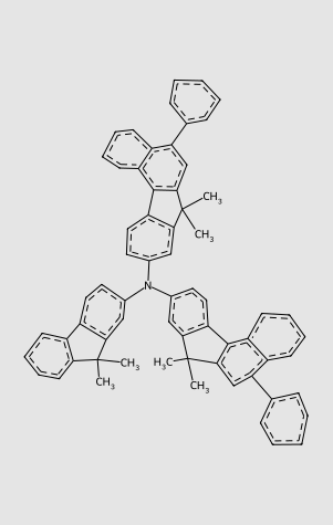 CC1(C)c2ccccc2-c2ccc(N(c3ccc4c(c3)C(C)(C)c3cc(-c5ccccc5)c5ccccc5c3-4)c3ccc4c(c3)C(C)(C)c3cc(-c5ccccc5)c5ccccc5c3-4)cc21